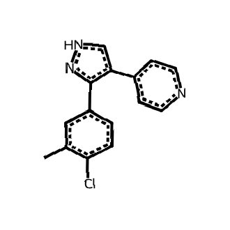 Cc1cc(-c2n[nH]cc2-c2ccncc2)ccc1Cl